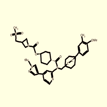 COc1ccc(C23CCC(CN(c4cc(-c5cnn(C(C)(C)C)c5)ccn4)C(=O)[C@H]4CC[C@H](OC(=O)N5CC(CS(C)(=O)=O)C5)CC4)(CC2)CC3)cc1C